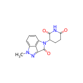 Cn1nc2c3c(cccc31)N(C1CCC(=O)NC1=O)C2=O